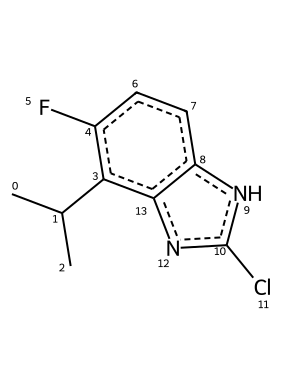 CC(C)c1c(F)ccc2[nH]c(Cl)nc12